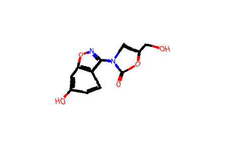 O=C1OC(CO)CN1c1noc2cc(O)ccc12